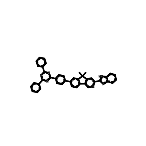 CC1(C)c2cc(-c3ccc(-c4nc(-c5ccccc5)nc(-c5ccccc5)n4)cc3)ccc2-c2cnc(-c3nc4ccccc4[nH]3)cc21